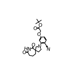 CC(C)(C)OC(=O)COc1ccc(C#N)c(N2CCC3(CCCC(=O)NC3=O)C2)c1